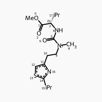 COC(=O)[C@@H](NC(=O)N(C)CCc1csc(C(C)C)n1)C(C)C